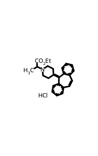 CCOC(=O)C(C)N1CCC(=C2c3ccccc3C=Cc3ccccc32)CC1.Cl